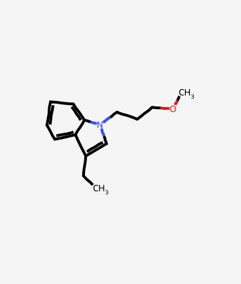 CCc1cn(CCCOC)c2ccccc12